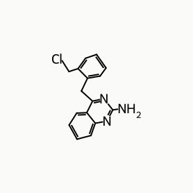 Nc1nc(Cc2ccccc2CCl)c2ccccc2n1